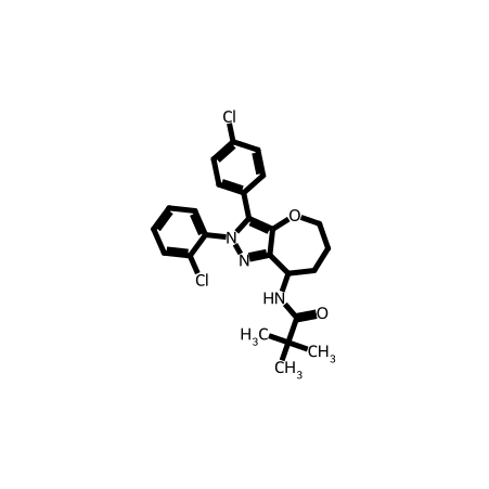 CC(C)(C)C(=O)NC1CCCOc2c1nn(-c1ccccc1Cl)c2-c1ccc(Cl)cc1